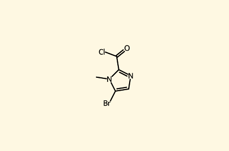 Cn1c(Br)cnc1C(=O)Cl